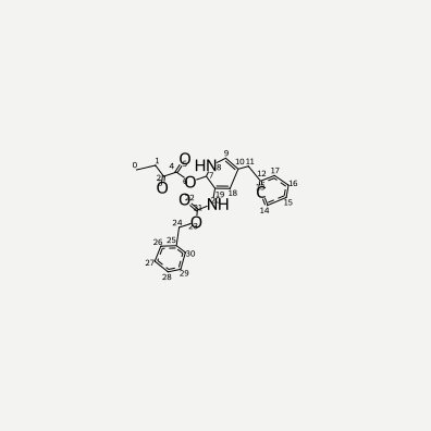 CCC(=O)C(=O)OC1NC=C(Cc2ccccc2)C=C1NC(=O)OCc1ccccc1